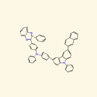 c1ccc(-c2nc3ccccc3nc2-c2ccc(N(c3ccccc3)c3ccc(-c4ccc5c(c4)c4cc(-c6ccc7ccccc7c6)ccc4n5-c4ccccc4)cc3)cc2)cc1